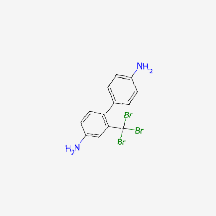 Nc1ccc(-c2ccc(N)cc2C(Br)(Br)Br)cc1